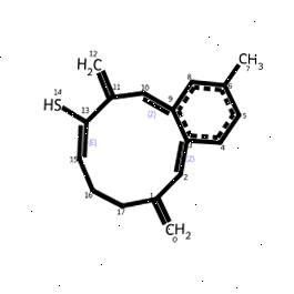 C=C1/C=c2/ccc(C)c/c2=C/C(=C)/C(S)=C\CC1